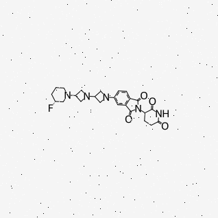 O=C1CCC(N2C(=O)c3ccc(N4CC(N5CC(N6CCC[C@@H](F)C6)C5)C4)cc3C2=O)C(=O)N1